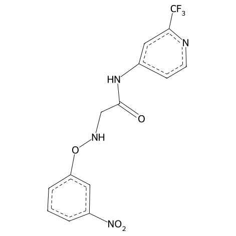 O=C(CNOc1cccc([N+](=O)[O-])c1)Nc1ccnc(C(F)(F)F)c1